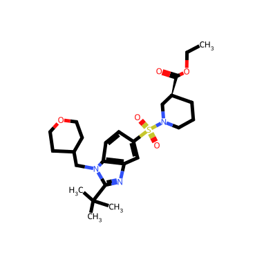 CCOC(=O)[C@H]1CCCN(S(=O)(=O)c2ccc3c(c2)nc(C(C)(C)C)n3CC2CCOCC2)C1